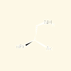 CCC[C@@H](CN)C(C)=O